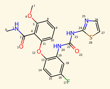 CNC(=O)c1c(OC)cccc1Oc1ccc(F)cc1NC(=O)Nc1nccs1